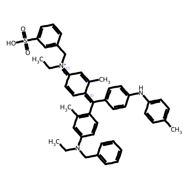 CCN(Cc1ccccc1)c1ccc(/C(=C2C=C/C(=[N+](\CC)Cc3cccc(S(=O)(=O)O)c3)C=C\2C)c2ccc(Nc3ccc(C)cc3)cc2)c(C)c1